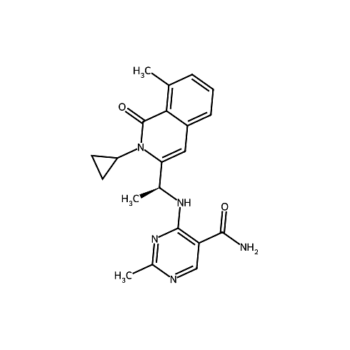 Cc1ncc(C(N)=O)c(N[C@@H](C)c2cc3cccc(C)c3c(=O)n2C2CC2)n1